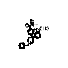 CCN(CC)C(=O)c1ccc(C2(c3cccc(NC=O)c3)CCN(Cc3ccccc3)CC2)cc1